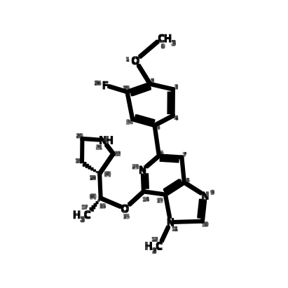 COc1ccc(-c2cc3ncn(C)c3c(O[C@H](C)[C@@H]3CCNC3)n2)cc1F